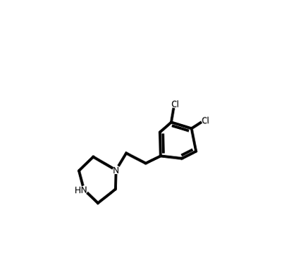 Clc1ccc(CCN2CCNCC2)cc1Cl